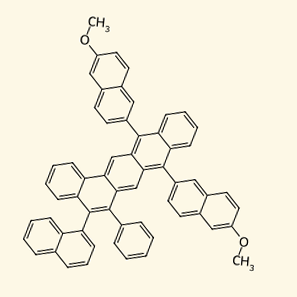 COc1ccc2cc(-c3c4ccccc4c(-c4ccc5cc(OC)ccc5c4)c4cc5c(cc34)c(-c3ccccc3)c(-c3cccc4ccccc34)c3ccccc35)ccc2c1